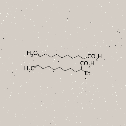 C=CCCCCCCCC(CC)C(=O)O.C=CCCCCCCCCC(=O)O